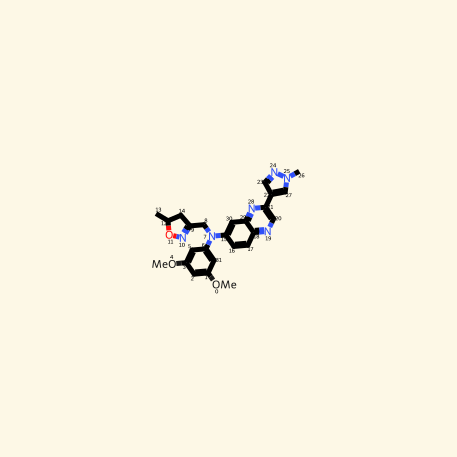 COc1cc(OC)cc(N(CC2=NOC(C)C2)c2ccc3ncc(-c4cnn(C)c4)nc3c2)c1